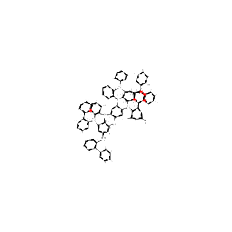 Fc1cc(F)c(N2c3cc4c(cc3B3c5ccccc5N(c5ccccc5)c5cc(N(c6ccccc6)c6ccccc6)cc2c53)B2c3ccccc3N(c3ccccc3-c3ccccc3)c3cc(Nc5ccccc5-c5ccccc5)cc(c32)S4)c(-c2ccccc2)c1